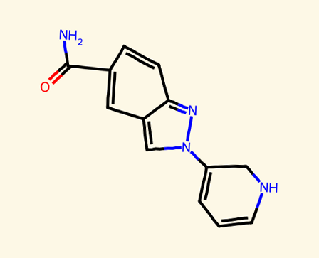 NC(=O)c1ccc2nn(C3=CC=CNC3)cc2c1